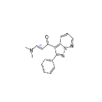 CN(C)/C=C/C(=O)c1c(-c2ccccc2)nn2ncccc12